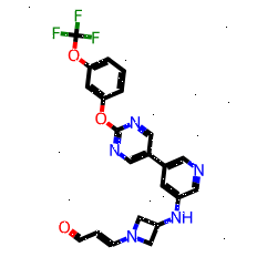 O=CC=CN1CC(Nc2cncc(-c3cnc(Oc4cccc(OC(F)(F)F)c4)nc3)c2)C1